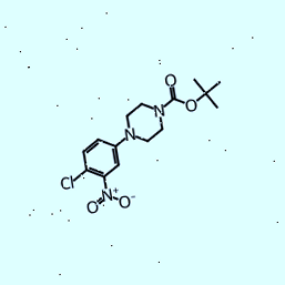 CC(C)(C)OC(=O)N1CCN(c2ccc(Cl)c([N+](=O)[O-])c2)CC1